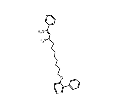 N/C(=C\N(N)CCCCCCCCOc1ccccc1-c1ccccc1)c1cccnc1